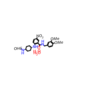 COc1ccc(CNC(=O)c2cc([N+](=O)[O-])ccc2N[C@H]2CC[C@H](NC=O)CC2)cc1OC.O.O